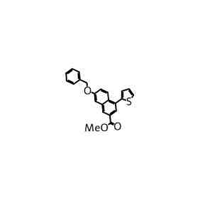 COC(=O)c1cc(-c2cccs2)c2ccc(OCc3ccccc3)cc2c1